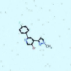 Cn1ccc(-c2cc(-c3ccc(F)cc3)ncc2Br)n1